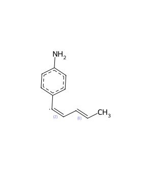 C/C=C/C=[C]\c1ccc(N)cc1